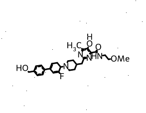 COCCNC(=O)c1nc(CC2CCN(C3CC=C(c4ccc(CO)cc4)C=C3F)CC2)nc(C)c1O